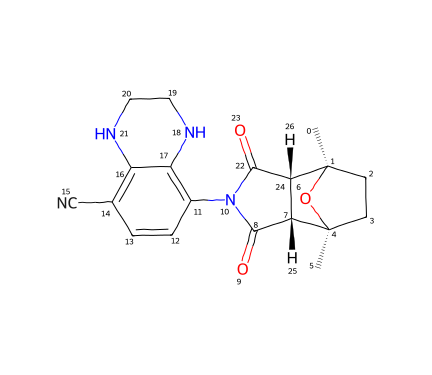 C[C@]12CC[C@](C)(O1)[C@@H]1C(=O)N(c3ccc(C#N)c4c3NCCN4)C(=O)[C@@H]12